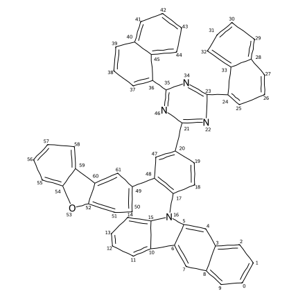 c1ccc2cc3c(cc2c1)c1ccccc1n3-c1ccc(-c2nc(-c3cccc4ccccc34)nc(-c3cccc4ccccc34)n2)cc1-c1ccc2oc3ccccc3c2c1